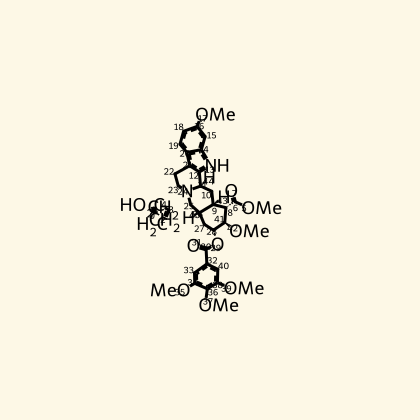 C=C.C=CC(=O)O.COC(=O)[C@H]1[C@H]2C[C@@H]3c4[nH]c5cc(OC)ccc5c4CCN3C[C@H]2C[C@@H](OC(=O)c2cc(OC)c(OC)c(OC)c2)[C@@H]1OC